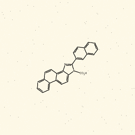 O=C(O)n1c(-c2ccc3ccccc3c2)nc2c3ccc4ccccc4c3ccc21